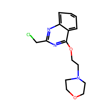 ClCc1nc(OCCN2CCOCC2)c2ccccc2n1